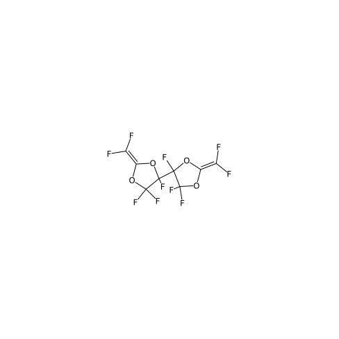 FC(F)=C1OC(F)(F)C(F)(C2(F)OC(=C(F)F)OC2(F)F)O1